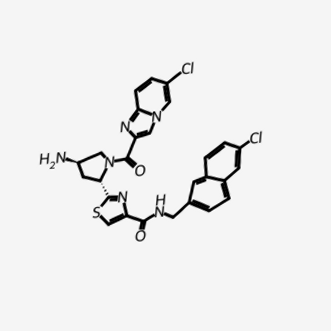 N[C@@H]1C[C@@H](c2nc(C(=O)NCc3ccc4cc(Cl)ccc4c3)cs2)N(C(=O)c2cn3cc(Cl)ccc3n2)C1